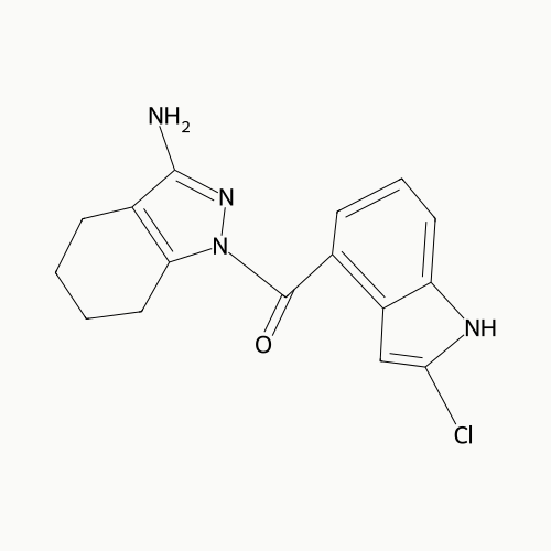 Nc1nn(C(=O)c2cccc3[nH]c(Cl)cc23)c2c1CCCC2